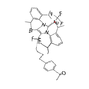 CC(=O)c1ccc(CCCC(F)(F)c2c(Br)n(-c3c(C(C)C)cccc3C(C)C)[c](=[Au][C](F)(F)F)n2-c2c(C(C)C)cccc2C(C)C)cc1